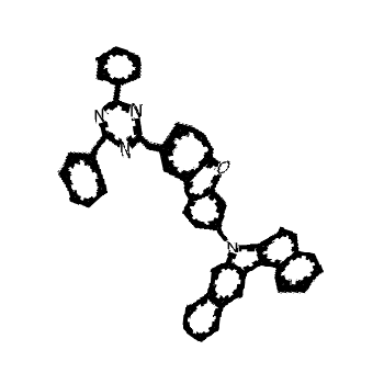 c1ccc(-c2nc(-c3ccccc3)nc(-c3ccc4oc5cc(-n6c7cc8ccccc8cc7c7c8ccccc8ccc76)ccc5c4c3)n2)cc1